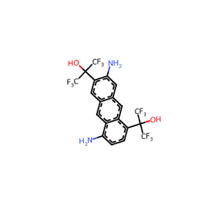 Nc1cc2cc3c(C(O)(C(F)(F)F)C(F)(F)F)ccc(N)c3cc2cc1C(O)(C(F)(F)F)C(F)(F)F